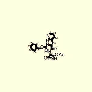 CC(=O)O[C@@H]1NC(=O)[C@H]1NC(=O)[C@H](Cc1cccnc1)NC(=O)OCc1ccccc1